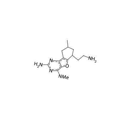 CNc1nc(N)nc2c3c(oc12)C(CCN)CC(C)C3